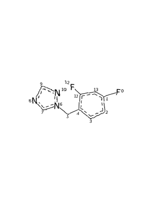 Fc1ccc(Cn2cncn2)c(F)c1